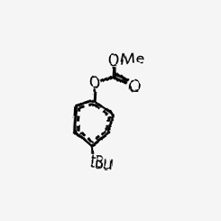 COC(=O)Oc1ccc(C(C)(C)C)cc1